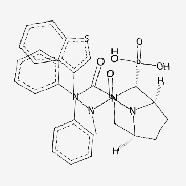 CN(Cc1csc2ccccc12)C(=O)N1[C@H]2CC[C@@H]1[C@@H](P(=O)(O)O)N(C(=O)N(c1ccccc1)c1ccccc1)C2